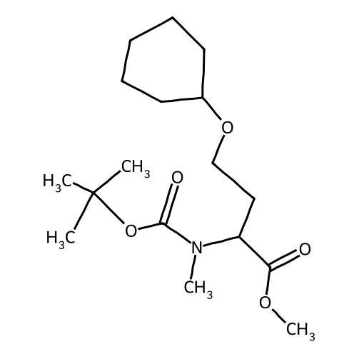 COC(=O)C(CCOC1CCCCC1)N(C)C(=O)OC(C)(C)C